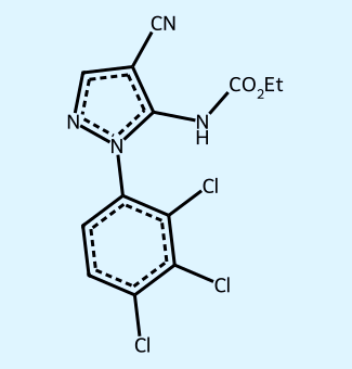 CCOC(=O)Nc1c(C#N)cnn1-c1ccc(Cl)c(Cl)c1Cl